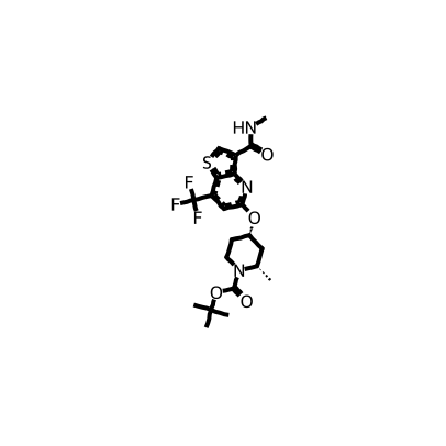 CNC(=O)c1csc2c(C(F)(F)F)cc(O[C@H]3CCN(C(=O)OC(C)(C)C)[C@@H](C)C3)nc12